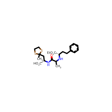 CCOC(=O)[C@H](CCc1ccccc1)NC(C)C(=O)N[C@@H](CC1(C)SCCS1)C(=O)O